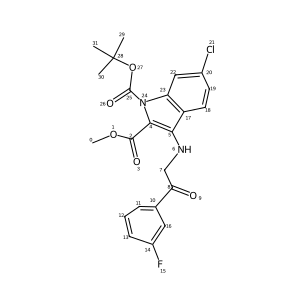 COC(=O)c1c(NCC(=O)c2cccc(F)c2)c2ccc(Cl)cc2n1C(=O)OC(C)(C)C